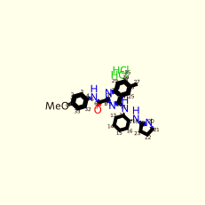 COc1ccc(NC(=O)c2nc(N[C@H]3CCCC[C@H]3NC3=NCCC3)c3cc(C)ccc3n2)cc1.Cl.Cl